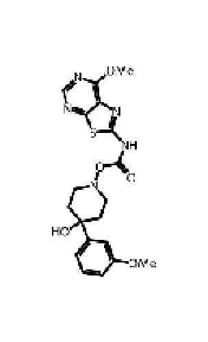 COc1cccc(C2(O)CCN(OC(=O)Nc3nc4c(OC)ncnc4s3)CC2)c1